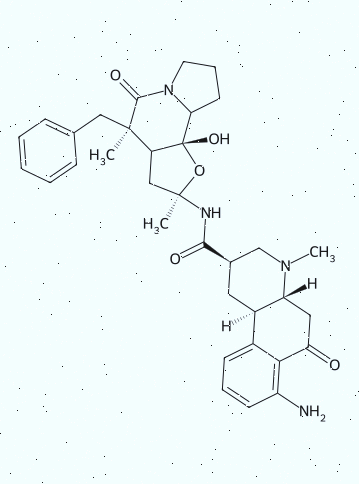 CN1C[C@H](C(=O)N[C@@]2(C)CC3[C@@](O)(O2)C2CCCN2C(=O)[C@]3(C)Cc2ccccc2)C[C@@H]2c3cccc(N)c3C(=O)C[C@H]21